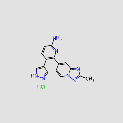 Cc1nc2cc(-c3nc(N)ccc3-c3cn[nH]c3)ccn2n1.Cl